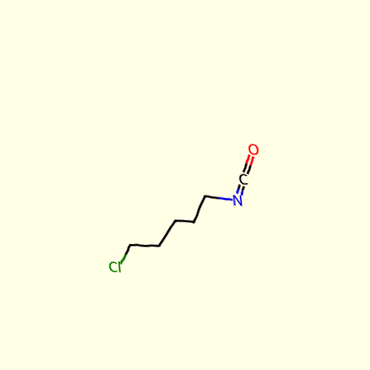 O=C=NCCCCCCl